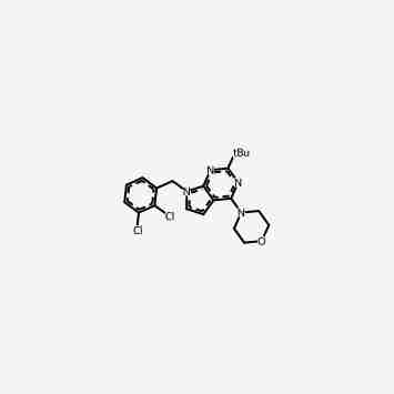 CC(C)(C)c1nc(N2CCOCC2)c2ccn(Cc3cccc(Cl)c3Cl)c2n1